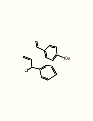 C=CC(Cl)c1ccccc1.C=Cc1ccc(C(C)(C)C)cc1